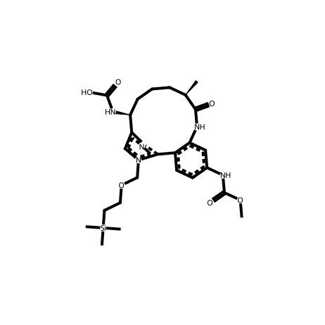 COC(=O)Nc1ccc2c(c1)NC(=O)[C@H](C)CCC[C@H](NC(=O)O)c1cn(COCC[Si](C)(C)C)c-2n1